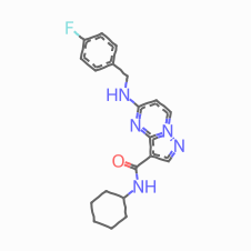 O=C(NC1CCCCC1)c1cnn2ccc(NCc3ccc(F)cc3)nc12